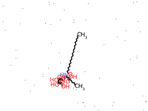 CCCCCCCCCCCCCCCCCCCCCCC(=O)N[C@@H](CO[C@H]1O[C@H](CO)[C@H](O)[C@H](O)[C@H]1O)[C@H](O)[C@H](O)CCCCC